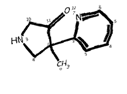 CC1(c2ccccn2)CNCC1=O